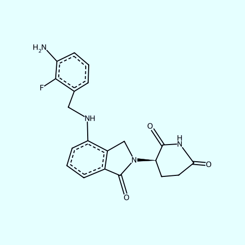 Nc1cccc(CNc2cccc3c2CN([C@@H]2CCC(=O)NC2=O)C3=O)c1F